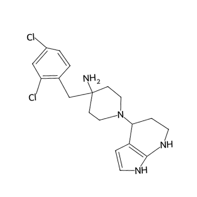 NC1(Cc2ccc(Cl)cc2Cl)CCN(C2CCNc3[nH]ccc32)CC1